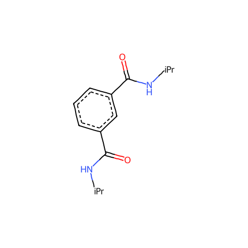 CC(C)NC(=O)c1cccc(C(=O)NC(C)C)c1